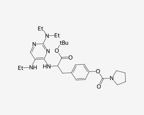 CCNc1cnc(N(CC)CC)nc1NC(Cc1ccc(OC(=O)N2CCCC2)cc1)C(=O)OC(C)(C)C